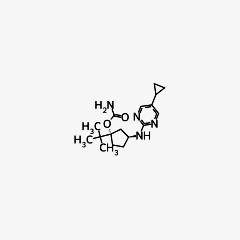 CC(C)(C)[C@]1(OC(N)=O)CC[C@H](Nc2ncc(C3CC3)cn2)C1